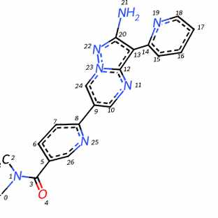 CC(C)N(C)C(=O)c1ccc(-c2cnc3c(-c4ccccn4)c(N)nn3c2)nc1